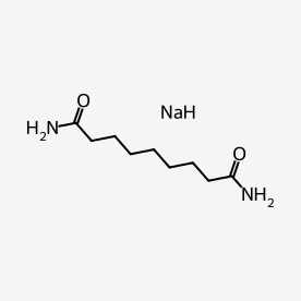 NC(=O)CCCCCCCC(N)=O.[NaH]